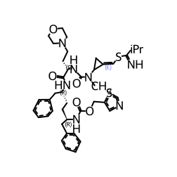 CC(C)C(=N)S/C=C1\CC1N(C)C(=O)N[C@@H](CCN1CCOCC1)C(=O)N[C@H](CC[C@H](Cc1ccccc1)NC(=O)OCc1cncs1)Cc1ccccc1